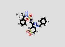 C[C@H](NS(=O)(=O)/C=C/c1nn(Cc2ccccc2)c2c1CS(=O)(=O)CC2)c1ccccc1